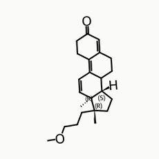 COCCC[C@@]1(C)CC[C@H]2C3CCC4=CC(=O)CCC4=C3C=C[C@@]21C